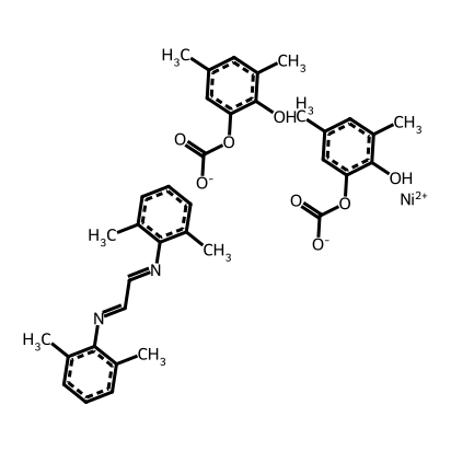 Cc1cc(C)c(O)c(OC(=O)[O-])c1.Cc1cc(C)c(O)c(OC(=O)[O-])c1.Cc1cccc(C)c1N=CC=Nc1c(C)cccc1C.[Ni+2]